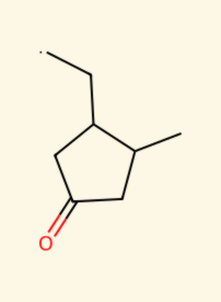 [CH2]CC1CC(=O)CC1C